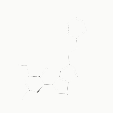 CCOC(=O)[C@H](C[N+](=O)[O-])c1c[nH]c2ccc(OCc3ccccc3)cc12